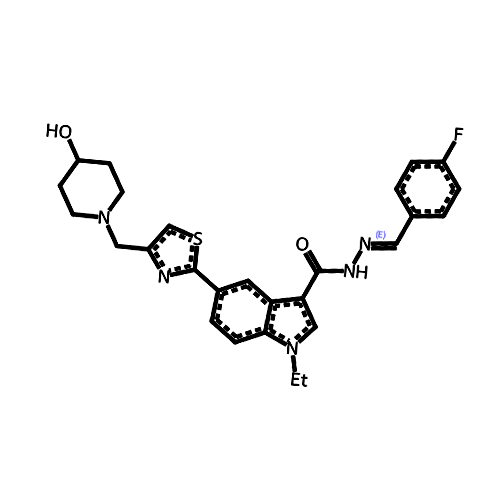 CCn1cc(C(=O)N/N=C/c2ccc(F)cc2)c2cc(-c3nc(CN4CCC(O)CC4)cs3)ccc21